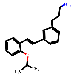 CC(C)Oc1ccccc1/C=C/c1cccc(CCCN)c1